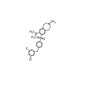 CN1CCc2cc(N(C)C)c(S(=O)(=O)c3ccc(Cc4cc(F)cc(Cl)c4)cc3)cc2CC1